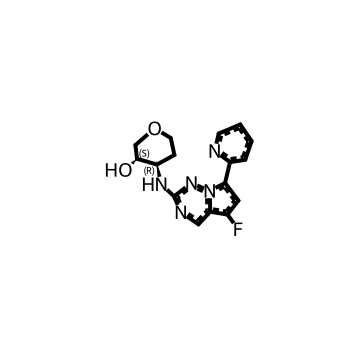 O[C@@H]1COCC[C@H]1Nc1ncc2c(F)cc(-c3ccccn3)n2n1